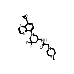 CN1CCN(CC(=O)NC2CN(c3ccc(C4C=N4)c4nccnc34)CC(F)(F)C2)CC1